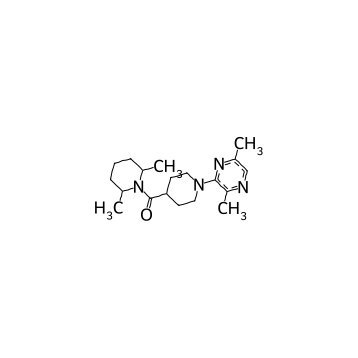 Cc1cnc(C)c(N2CCC(C(=O)N3C(C)CCCC3C)CC2)n1